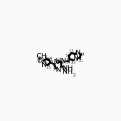 COc1ccc(-c2cnc(NN)c(NCc3ccc4nccn4c3)n2)cn1